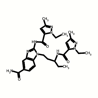 CCC(CCn1c(NC(=O)c2cc(C)nn2CC)nc2cc(C(N)=O)ccc21)NC(=O)c1cc(C)nn1CC